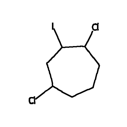 ClC1CCCC(Cl)C(I)C1